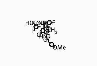 COc1ccc(CCS(=O)(=O)Nc2nn(C)c3c(-n4c([C@H](Cc5cc(F)cc(F)c5)NC(=O)O)nc5ccc(F)cc5c4=O)ccc(Cl)c23)cc1